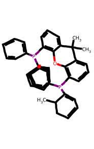 CC1CC=CC=C1P(c1ccccc1)c1cccc2c1Oc1c(P(c3ccccc3)c3ccccc3)cccc1C2(C)C